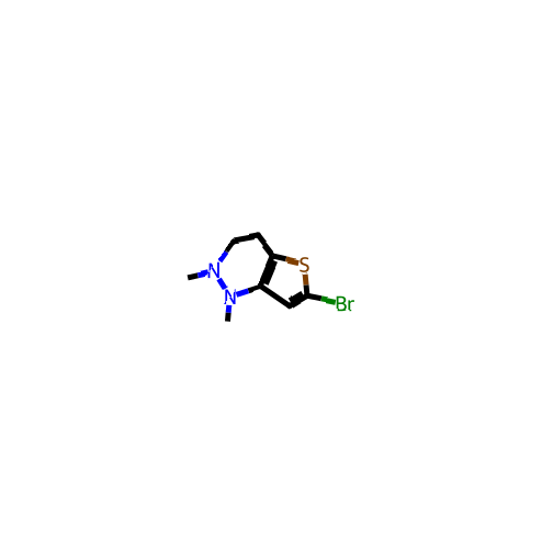 CN1CCc2sc(Br)cc2N1C